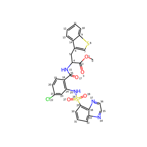 COC(=O)C(Cc1csc2ccccc12)NC(=O)c1ccc(Cl)cc1NS(=O)(=O)c1cccc2nccnc12